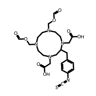 O=COCN1CCN(COC=O)CCN(CC(=O)O)C(Cc2ccc(N=C=S)cc2)CN(CC(=O)O)CC1